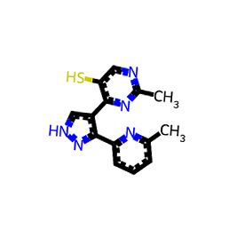 Cc1cccc(-c2n[nH]cc2-c2nc(C)ncc2S)n1